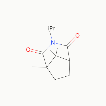 CC(C)N1C(=O)C2CCC(C)(C1=O)C2(C)C